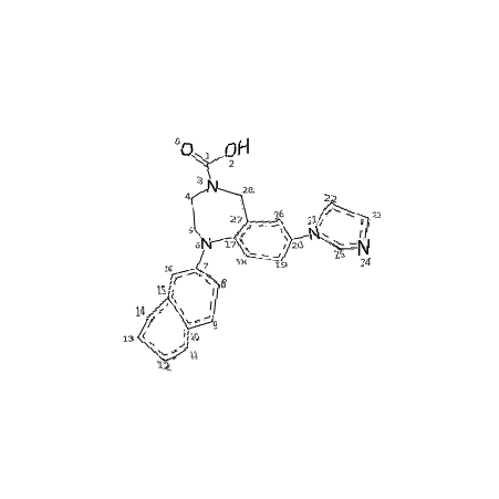 O=C(O)N1CCN(c2ccc3ccccc3c2)c2ccc(-n3ccnc3)cc2C1